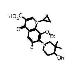 CCOc1c(N2CCC(O)C(C)(C)C2)c(F)cc2c(=O)c(C(=O)O)cn(C3CC3)c12